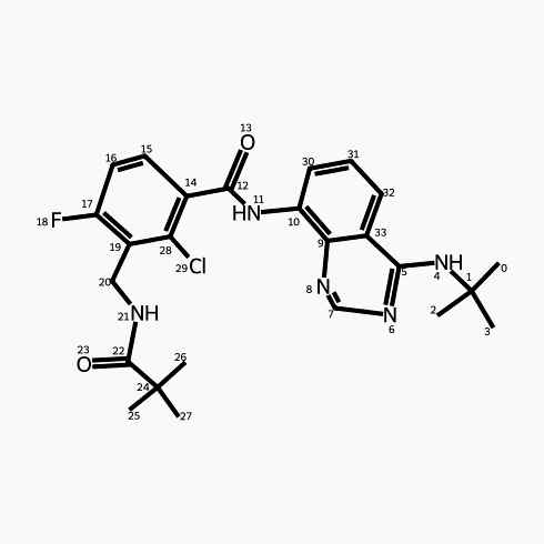 CC(C)(C)Nc1ncnc2c(NC(=O)c3ccc(F)c(CNC(=O)C(C)(C)C)c3Cl)cccc12